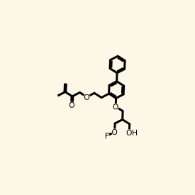 C=C(C)C(=O)COCCc1cc(-c2ccccc2)ccc1OCC(CO)COF